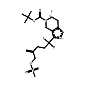 C=C(CCC(F)(F)c1[nH]nc2c1CN(C(=O)OC(C)(C)C)[C@H](C)C2)COS(C)(=O)=O